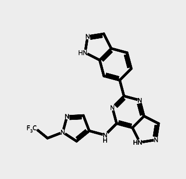 FC(F)(F)Cn1cc(Nc2nc(-c3ccc4cn[nH]c4c3)nc3cn[nH]c23)cn1